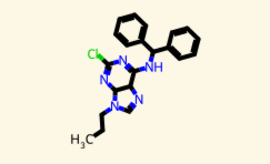 CCCN1C=NC2C(NC(c3ccccc3)c3ccccc3)=NC(Cl)=NC21